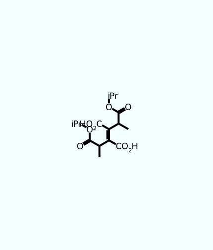 CC(C)OC(=O)C(C)C(C(=O)O)=C(C(=O)O)C(C)C(=O)OC(C)C